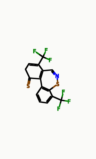 FC(F)(F)C1=CCC(=S)C2=C1C=NSc1c2cccc1C(F)(F)F